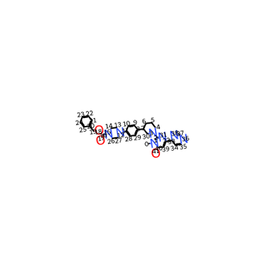 Cn1c(N2CCCC(c3ccc(N4CCN(C(=O)OCc5ccccc5)CC4)cc3)C2)nc(-c2ccncn2)cc1=O